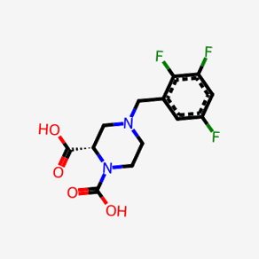 O=C(O)[C@@H]1CN(Cc2cc(F)cc(F)c2F)CCN1C(=O)O